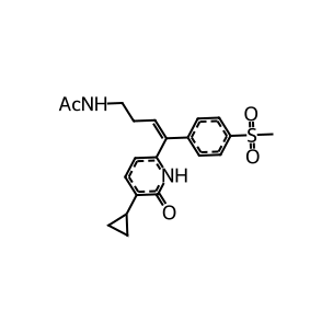 CC(=O)NCCC=C(c1ccc(S(C)(=O)=O)cc1)c1ccc(C2CC2)c(=O)[nH]1